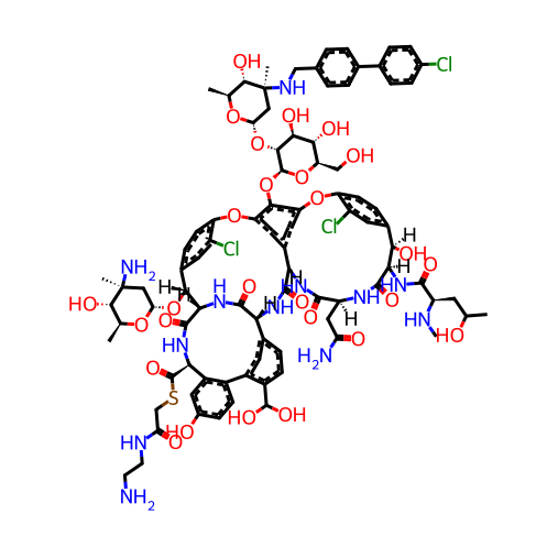 CN[C@H](CC(C)O)C(=O)N[C@H]1C(=O)N[C@@H](CC(N)=O)C(=O)N[C@H]2C(=O)N[C@H]3C(=O)N[C@H](C(=O)N[C@H](C(=O)SCC(=O)NCCN)c4cc(O)ccc4-c4cc3ccc4C(O)O)[C@H](O[C@H]3C[C@](C)(N)[C@@H](O)[C@H](C)O3)c3ccc(c(Cl)c3)Oc3cc2cc(c3O[C@@H]2O[C@H](CO)[C@@H](O)[C@H](O)[C@H]2O[C@H]2C[C@](C)(NCc3ccc(-c4ccc(Cl)cc4)cc3)[C@@H](O)[C@H](C)O2)Oc2ccc(cc2Cl)[C@H]1O